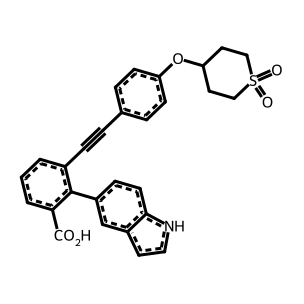 O=C(O)c1cccc(C#Cc2ccc(OC3CCS(=O)(=O)CC3)cc2)c1-c1ccc2[nH]ccc2c1